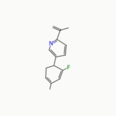 C=C(C)c1ccc(C2CC=C(C)C=C2F)cn1